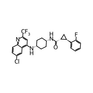 O=C(N[C@H]1CC[C@@H](Nc2cc(C(F)(F)F)nc3ccc(Cl)cc23)CC1)[C@@H]1C[C@H]1c1ccccc1F